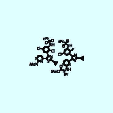 CCCS(=O)(=O)Nc1cc(Cl)cc(-c2nc(C3CC3)sc2-c2ccnc(NC)n2)c1Cl.CCCS(=O)(=O)Nc1cc(Cl)cc(-c2nc(C3CC3)sc2-c2ccnc(NN(C(=O)OC)C(C)C)n2)c1F